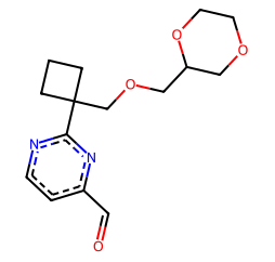 O=Cc1ccnc(C2(COCC3COCCO3)CCC2)n1